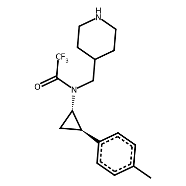 Cc1ccc([C@H]2C[C@@H]2N(CC2CCNCC2)C(=O)C(F)(F)F)cc1